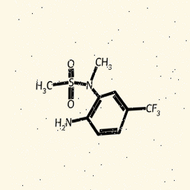 CN(c1cc(C(F)(F)F)ccc1N)S(C)(=O)=O